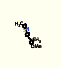 COc1ccc(/C=C/c2ccc(-c3nc4ccc(C)cc4s3)cc2)c(C)c1